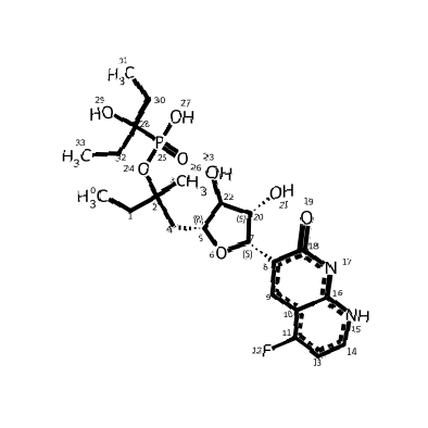 CCC(C)(C[C@H]1O[C@@H](c2cc3c(F)cc[nH]c-3nc2=O)[C@@H](O)C1O)OP(=O)(O)C(O)(CC)CC